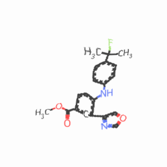 COC(=O)c1ccc(Nc2ccc(C(C)(C)F)cc2)c(-c2cocn2)c1